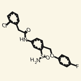 N[S+]([O-])c1cc(NC(=O)Cc2ccccc2Cl)ccc1COc1ccc(F)cc1